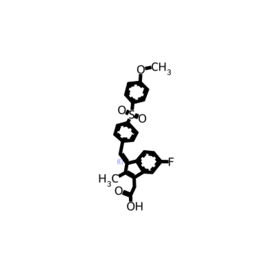 COc1ccc(S(=O)(=O)c2ccc(/C=C3/C(C)=C(CC(=O)O)c4cc(F)ccc43)cc2)cc1